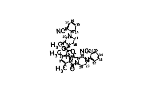 Cc1cc(C)c(S(=O)(=O)N2CCN(c3ccccc3C#N)C[C@@H]2C)cc1C(=O)N1CCN(c2ccccc2C#N)C[C@@H]1C